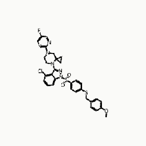 COc1ccc(CSc2ccc(S(=O)(=O)n3nc(N4CCN(c5ncc(F)cn5)CC45CC5)c4c(Cl)cccc43)cc2)cc1